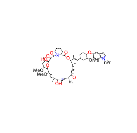 CCCn1ccc2cc(OC3CCC(C=C(C)C4OC(=O)C5CCCCN5C(=O)C(=O)C5(O)OC(C(OC)CC(C)C(O)/C(C)=C/C(CC)C(=O)CCC4C)C(OC)CC5C)CC3OC)ccc21